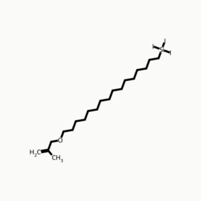 C=C(C)COCCCCCCCCCCCCCCCC[Si](I)(I)I